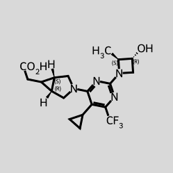 C[C@H]1[C@H](O)CN1c1nc(N2C[C@@H]3C(CC(=O)O)[C@@H]3C2)c(C2CC2)c(C(F)(F)F)n1